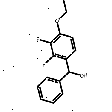 CCOc1ccc(C(O)c2ccccc2)c(F)c1F